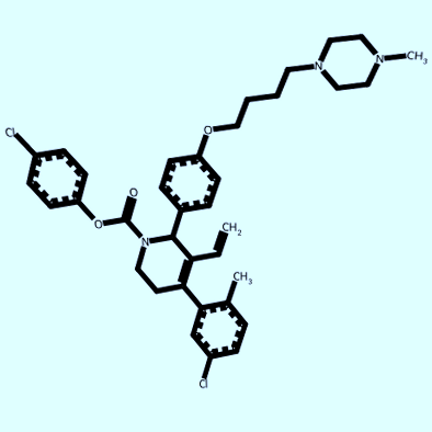 C=CC1=C(c2cc(Cl)ccc2C)CCN(C(=O)Oc2ccc(Cl)cc2)C1c1ccc(OCCCCN2CCN(C)CC2)cc1